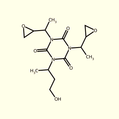 CC(CCO)n1c(=O)n(C(C)C2CO2)c(=O)n(C(C)C2CO2)c1=O